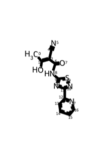 CC(O)=C(C#N)C(=O)Nc1nc(-c2ccccn2)ns1